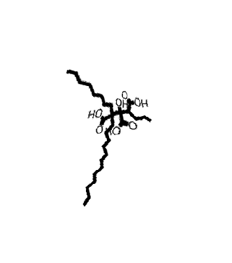 CCCCCCCCCCCCC(CCCCCCCC)(C(=O)O)C(O)(C(=O)O)C(CCC)C(=O)O